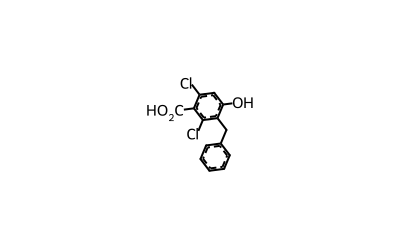 O=C(O)c1c(Cl)cc(O)c(Cc2ccccc2)c1Cl